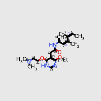 C=C(/C=C(\C(=C/C)CC)C(F)(F)F)NC(=O)CC1=C(OCC)N=CNC1OCCN(C)C